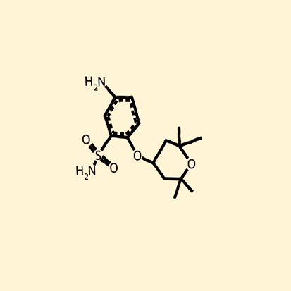 CC1(C)CC(Oc2ccc(N)cc2S(N)(=O)=O)CC(C)(C)O1